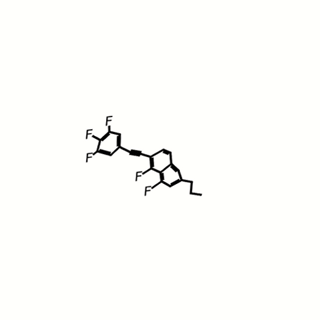 CCCc1cc(F)c2c(F)c(C#Cc3cc(F)c(F)c(F)c3)ccc2c1